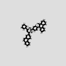 Cc1c(-c2ccc(-c3nc(-c4ccccc4)cc(-c4ccc5c(ccc6ccccc65)c4)n3)cc2)c2ccccc2c2ccccc12